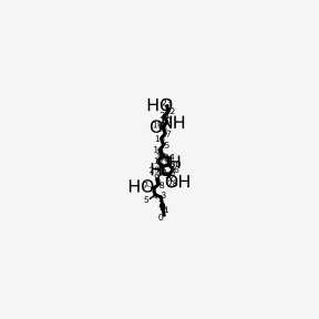 CC#CC[C@@H](C)[C@H](O)/C=C/[C@@H]1[C@H]2C/C(=C/CCCC(=O)NCCO)C[C@H]2C[C@H]1O